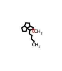 CCCCCC(CC)C12CCCC1CCC2C=O